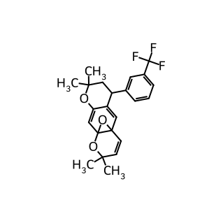 CC1(C)C=CC23C=C4C(=CC2(O1)O3)OC(C)(C)CC4c1cccc(C(F)(F)F)c1